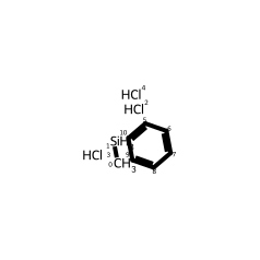 C[SiH3].Cl.Cl.Cl.c1ccccc1